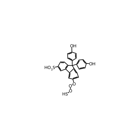 O=S(=O)(O)c1ccc2c(c1)-c1cc(OOOS)ccc1C2(c1ccc(O)cc1)c1ccc(O)cc1